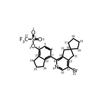 O=S(=O)(Oc1ccc(-c2ncc(Br)c3c2CC2(CCCC2)C3)c2c1CCC2)C(F)(F)F